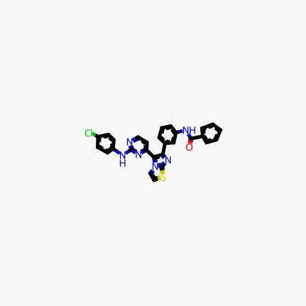 O=C(Nc1cccc(-c2nc3sccn3c2-c2ccnc(Nc3ccc(Cl)cc3)n2)c1)c1ccccc1